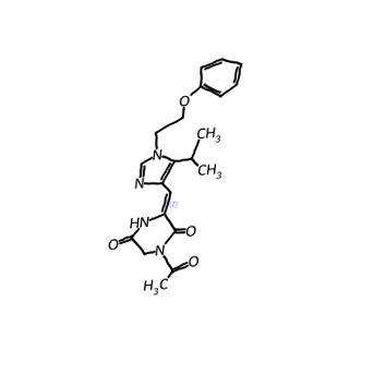 CC(=O)N1CC(=O)N/C(=C\c2ncn(CCOc3ccccc3)c2C(C)C)C1=O